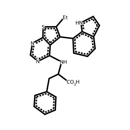 CCc1sc2ncnc(NC(Cc3ccccc3)C(=O)O)c2c1-c1cccc2cc[nH]c12